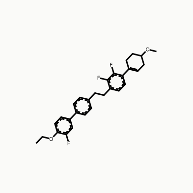 CCOc1ccc(-c2ccc(CCc3ccc(C4=CCC(OC)CC4)c(F)c3F)cc2)cc1F